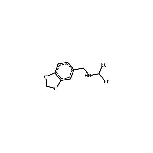 CCC(CC)NCc1ccc2c(c1)OCO2